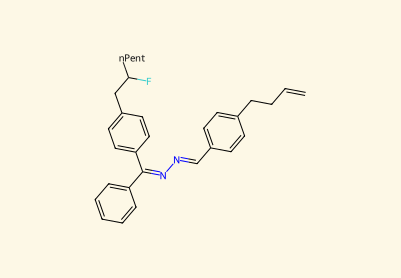 C=CCCc1ccc(C=NN=C(c2ccccc2)c2ccc(CC(F)CCCCC)cc2)cc1